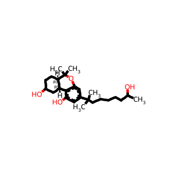 CC(O)CCCCCC(C)(C)c1cc(O)c2c(c1)OC(C)(C)[C@@H]1CCC(O)C[C@@H]21